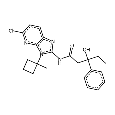 CCC(O)(CC(=O)Nc1nc2ccc(Cl)nc2n1C1(C)CCC1)c1ccccc1